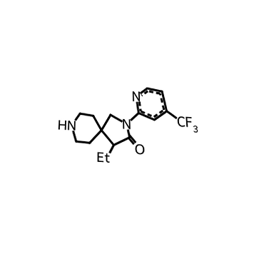 CCC1C(=O)N(c2cc(C(F)(F)F)ccn2)CC12CCNCC2